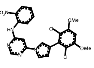 COc1cc(OC)c(Cl)c(-c2ccn(-c3cc(Nc4ccccc4[N+](=O)[O-])ncn3)c2)c1Cl